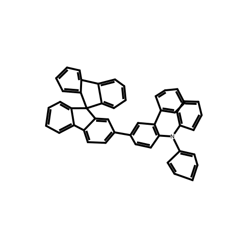 c1ccc(-c2cc(-c3ccc4c(c3)C3(c5ccccc5-c5ccccc53)c3ccccc3-4)ccc2N(c2ccccc2)c2ccccc2)cc1